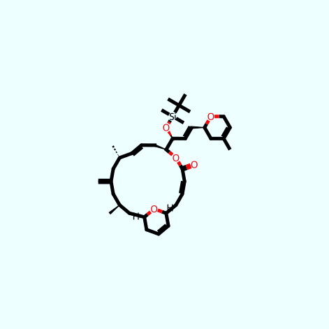 C=C1C[C@H](C)C[C@@H]2CC=C[C@@H](C/C=C\C(=O)O[C@H]([C@H](/C=C/[C@@H]3CC(C)=CCO3)O[Si](C)(C)C(C)(C)C)C/C=C/[C@@H](C)C1)O2